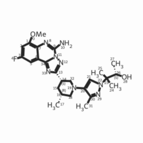 COc1cc(F)cc2c1nc(N)n1nc([C@H]3C[C@@H](C)CN(c4cn(C(C)(C)[C@H](C)O)nc4C)C3)nc21